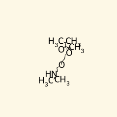 CC(C)NCCOCCCO[C@@H](C)C(=O)C(C)C